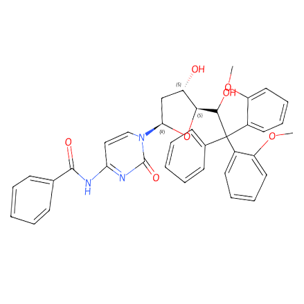 COc1ccccc1C(c1ccccc1)(c1ccccc1OC)C(O)[C@H]1O[C@@H](n2ccc(NC(=O)c3ccccc3)nc2=O)C[C@@H]1O